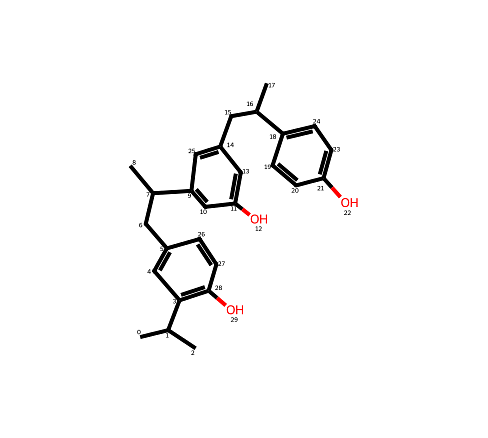 CC(C)c1cc(CC(C)c2cc(O)cc(CC(C)c3ccc(O)cc3)c2)ccc1O